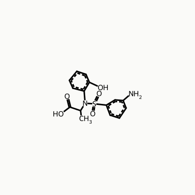 CC(C(=O)O)N(c1ccccc1O)S(=O)(=O)c1cccc(N)c1